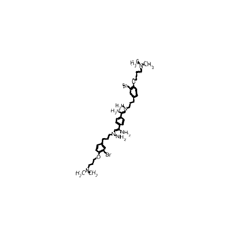 CN(C)CCCOc1ccc(CCCN(N)/C=C(\N)c2ccc(/C(N)=C/N(N)CCCc3ccc(OCCCN(C)C)c(Br)c3)cc2)cc1Br